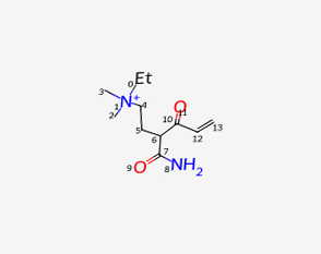 [CH2]C[N+](C)(C)CCC(C(N)=O)C(=O)C=C